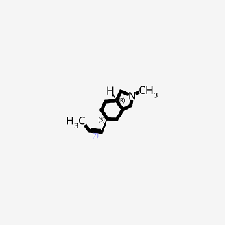 C/C=C\[C@H]1CC[C@H]2CN(C)CC2C1